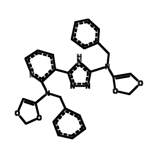 C1=C(N(Cc2ccccc2)c2nnc(-c3cccnc3N(Cc3ccccc3)C3=COCO3)[nH]2)OCO1